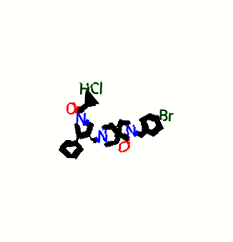 Cl.O=C(C1CC1)N1C[C@H](CN2CCC3(CC2)CCN(Cc2ccc(Br)cc2)C3=O)[C@@H](c2ccccc2)C1